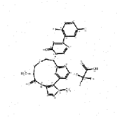 C[C@@H]1CCC[C@H](n2cnc(-c3cc(Cl)ccc3I)cc2=O)c2cc(ccn2)-c2c(cnn2C)NC1=O.O=C(O)C(F)(F)F